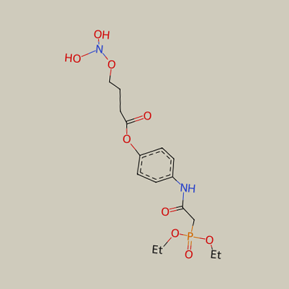 CCOP(=O)(CC(=O)Nc1ccc(OC(=O)CCCON(O)O)cc1)OCC